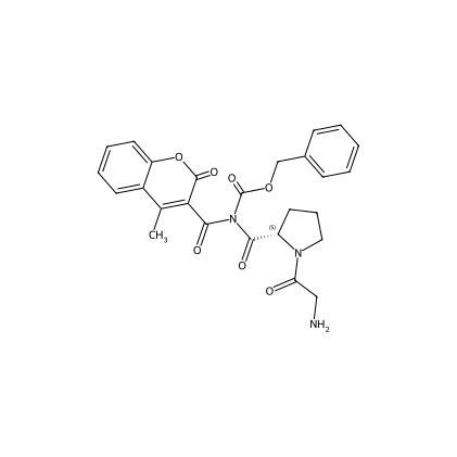 Cc1c(C(=O)N(C(=O)OCc2ccccc2)C(=O)[C@@H]2CCCN2C(=O)CN)c(=O)oc2ccccc12